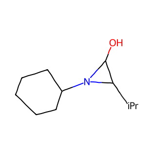 CC(C)C1C(O)N1C1CCCCC1